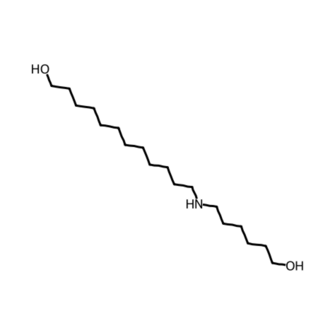 OCCCCCCCCCCCCNCCCCCCO